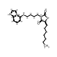 CCCCCC/C=C1/SC(=O)N(CCCCSc2cccc3nccn23)C1=O